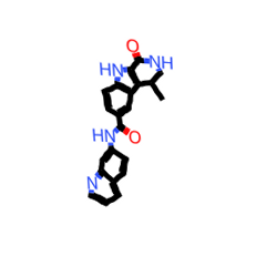 CC1CNC(=O)c2[nH]c3ccc(C(=O)Nc4ccc5cccnc5c4)cc3c21